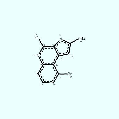 CCCCc1nc2c(Cl)nc3cccc(Br)c3c2s1